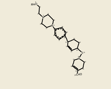 COCCN1CCN(c2ccc(C3C=CC(SN4CC=C(C=O)CC4)CC3)cc2)CC1